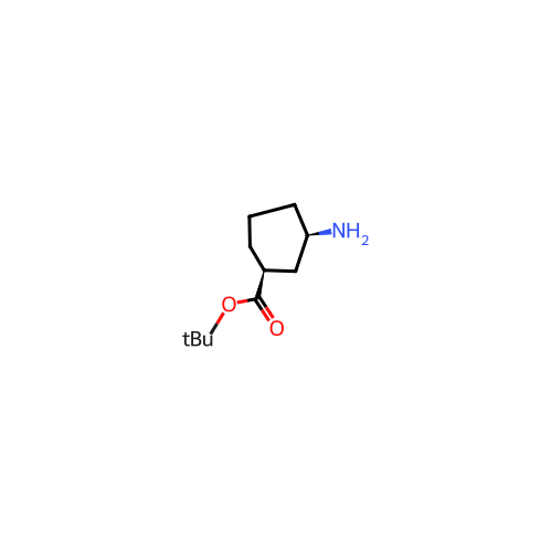 CC(C)(C)OC(=O)[C@H]1CCC[C@@H](N)C1